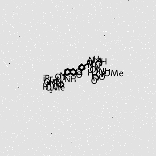 COC(=O)N[C@H](C(=O)N1[C@@H](C)CC[C@H]1c1nc2ccc3cc4c(cc3c2[nH]1)OCc1cc(-c2cnc([C@@H]3[C@@H]5C[C@@H]5CN3C(=O)[C@@H](NC(=O)OC)C3CCOCC3)[nH]2)ccc1-4)C(C)C